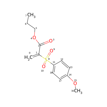 C=C(C(=O)OCCC)S(=O)(=O)c1ccc(OC)cc1